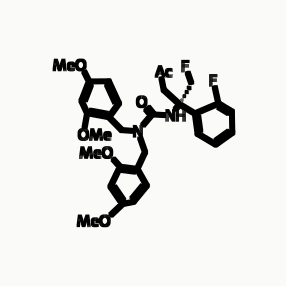 COc1ccc(CN(Cc2ccc(OC)cc2OC)C(=O)N[C@@](CF)(CC(C)=O)c2ccccc2F)c(OC)c1